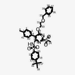 Cc1ccc(-c2c(NS(=O)(=O)c3ccc(C(C)(C)C)cc3)nc(S(C)(=O)=O)nc2OCCOCc2ccccc2)cc1